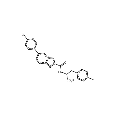 O=C(NC(Cc1ccc(F)cc1)C(=O)O)c1cn2cc(-c3ccc(Cl)cc3)ccc2n1